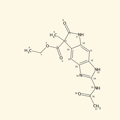 CCOC(=O)C1(C)C(=O)Nc2cc3[nH]c(NC(C)=O)nc3cc21